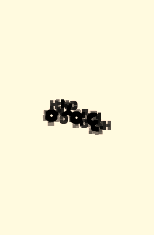 NC(=O)C(C(=O)Nc1ccccc1)c1ccc(Oc2ccnc3[nH]ccc23)c(F)c1